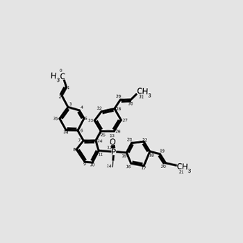 CC=Cc1ccc(-c2cccc(P(=O)(I)c3ccc(C=CC)cc3)c2-c2ccc(C=CC)cc2)cc1